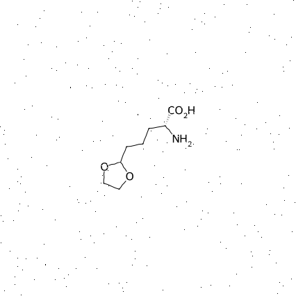 N[C@H](CCCC1OCCO1)C(=O)O